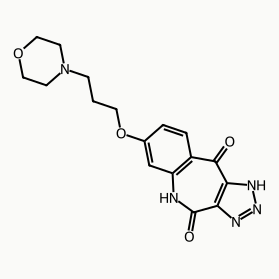 O=c1[nH]c2cc(OCCCN3CCOCC3)ccc2c(=O)c2[nH]nnc12